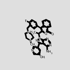 CC(c1oc(=O)c2ccccc2c1-c1ccc(F)c(CN2CCN(C)CC2)c1)n1nc(-c2cncc(O)c2)c2c(N)ncnc21